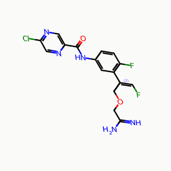 N=C(N)COC/C(=C\F)c1cc(NC(=O)c2cnc(Cl)cn2)ccc1F